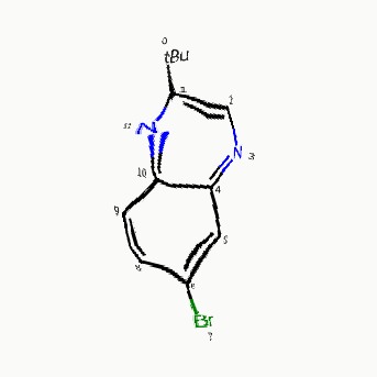 CC(C)(C)c1cnc2cc(Br)ccc2n1